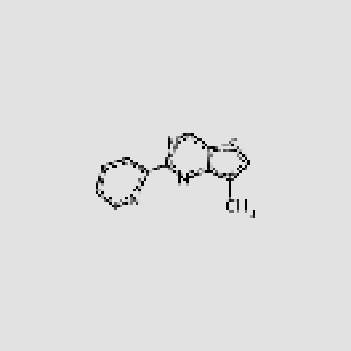 Cc1csc2cnc(-c3ccccn3)nc12